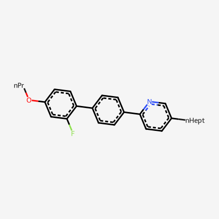 CCCCCCCc1ccc(-c2ccc(-c3ccc(OCCC)cc3F)cc2)nc1